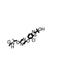 CC(=O)N[C@@H](C)COc1cnc(Oc2ccc3nc(C(C)(C)O)sc3c2Cl)cn1